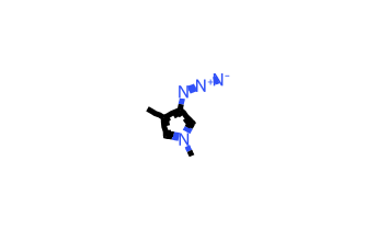 Cc1cn(C)cc1N=[N+]=[N-]